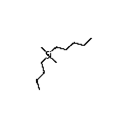 CCCCC[Si](C)(C)CCCC